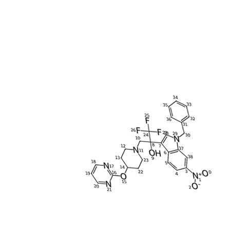 O=[N+]([O-])c1ccc2c(C(O)(CN3CCC(Oc4ncccn4)CC3)C(F)(F)F)cn(Cc3ccccc3)c2c1